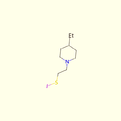 CCC1CCN(CCSI)CC1